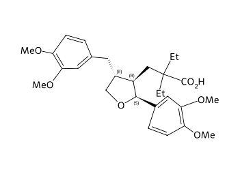 CCC(CC)(C[C@@H]1[C@@H](Cc2ccc(OC)c(OC)c2)CO[C@@H]1c1ccc(OC)c(OC)c1)C(=O)O